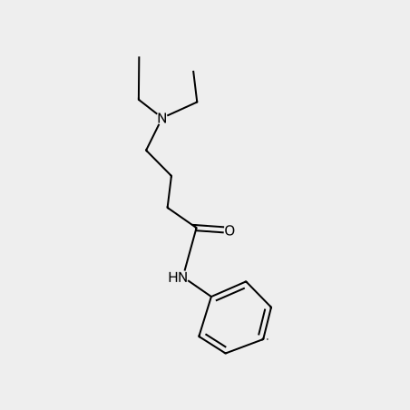 CCN(CC)CCCC(=O)Nc1cc[c]cc1